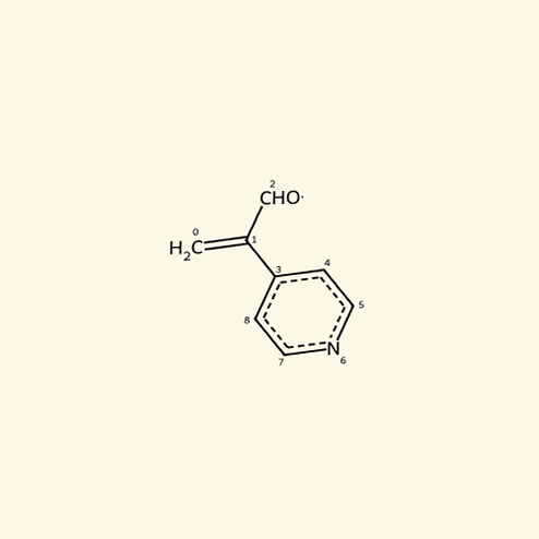 C=C([C]=O)c1ccncc1